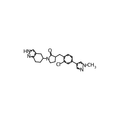 Cn1cc(-c2ccc(CC3CCN(C4CCc5n[nH]cc5C4)C3=O)c(Cl)c2)cn1